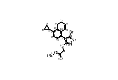 CC(C)(C)OC(=O)CSc1nnc(Br)n1-c1ccc(C2CC2)c2c1C=CCC2